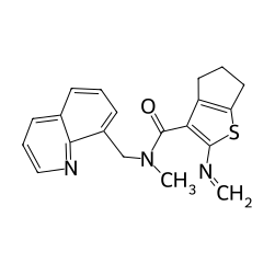 C=Nc1sc2c(c1C(=O)N(C)Cc1cccc3cccnc13)CCC2